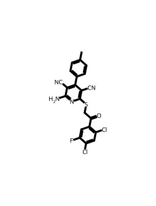 Cc1ccc(-c2c(C#N)c(N)nc(SCC(=O)c3cc(F)c(Cl)cc3Cl)c2C#N)cc1